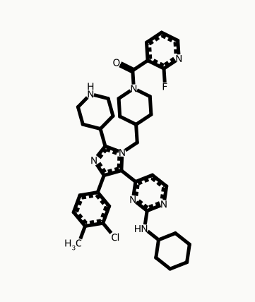 Cc1ccc(-c2nc(C3CCNCC3)n(CC3CCN(C(=O)c4cccnc4F)CC3)c2-c2ccnc(NC3CCCCC3)n2)cc1Cl